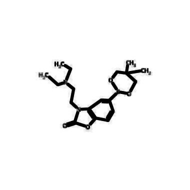 CCN(CC)CCn1c(=O)oc2ccc(B3OCC(C)(C)CO3)cc21